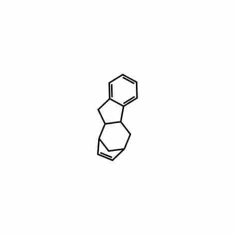 C1=CC2CC1CC1c3ccccc3CC21